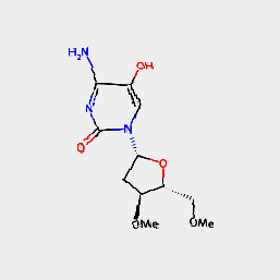 COC[C@H]1O[C@@H](n2cc(O)c(N)nc2=O)C[C@@H]1OC